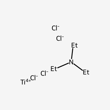 CCN(CC)CC.[Cl-].[Cl-].[Cl-].[Cl-].[Ti+4]